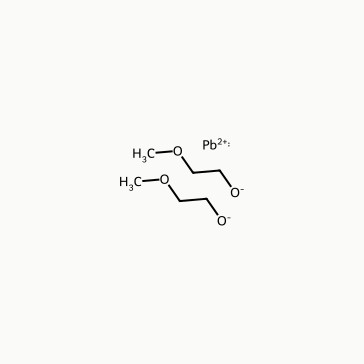 COCC[O-].COCC[O-].[Pb+2]